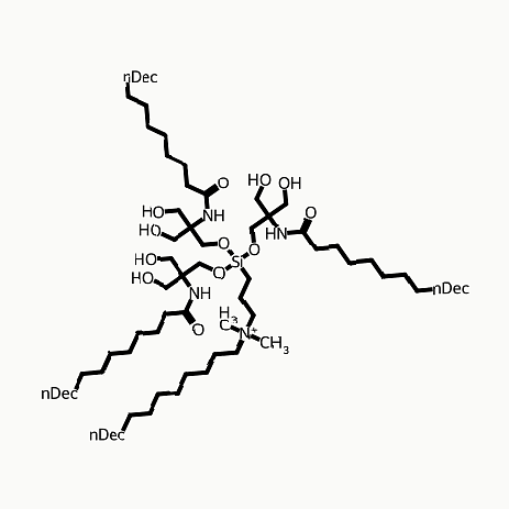 CCCCCCCCCCCCCCCCCC[N+](C)(C)CCC[Si](OCC(CO)(CO)NC(=O)CCCCCCCCCCCCCCCCC)(OCC(CO)(CO)NC(=O)CCCCCCCCCCCCCCCCC)OCC(CO)(CO)NC(=O)CCCCCCCCCCCCCCCCC